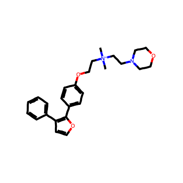 C[N+](C)(CCOc1ccc(-c2occc2-c2ccccc2)cc1)CCN1CCOCC1